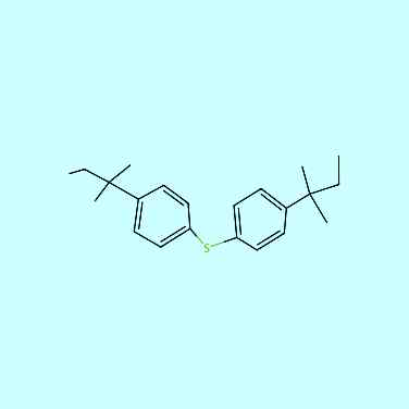 CCC(C)(C)c1ccc(Sc2ccc(C(C)(C)CC)cc2)cc1